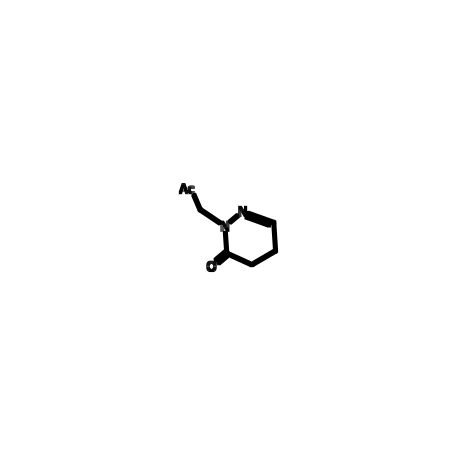 CC(=O)CN1N=CCCC1=O